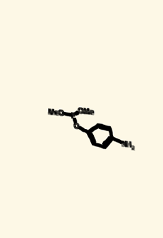 COP(OC)Oc1ccc(N)cc1